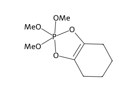 COP1(OC)(OC)OC2=C(CCCC2)O1